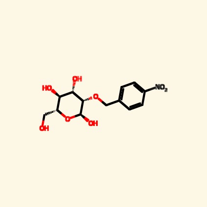 O=[N+]([O-])c1ccc(CO[C@H]2[C@@H](O)[C@H](O)[C@@H](CO)O[C@@H]2O)cc1